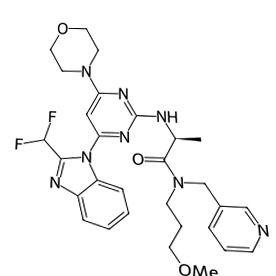 COCCCN(Cc1cccnc1)C(=O)[C@H](C)Nc1nc(N2CCOCC2)cc(-n2c(C(F)F)nc3ccccc32)n1